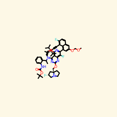 COCOc1cc(-c2nc3c4c(nc(OC[C@@]56CCCN5C[C@H](F)C6)nc4c2F)N(C(C)c2ccccc2NC(=O)OC(C)(C)C)CCO3)c2c(C#C[Si](C(C)C)(C(C)C)C(C)C)c(F)ccc2c1